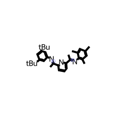 C/C(=N\c1cc(C(C)(C)C)cc(C(C)(C)C)c1)c1cccc(/C(C)=N/c2c(C)cc(C)cc2C)n1